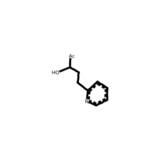 CC(=O)C(O)CCc1ccccn1